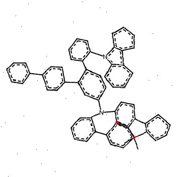 CC1(C)c2ccccc2-c2ccc(N(c3ccc(-c4ccccc4-n4c5ccccc5c5ccccc54)c(-c4ccc(-c5ccccc5)cc4)c3)c3ccccc3-c3ccccc3)cc21